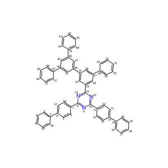 c1ccc(-c2ccc(-c3nc(-c4ccc(-c5ccccc5)cc4)nc(-c4cc(-c5ccccc5)cc(-c5cc(-c6ccccc6)cc(-c6ccccc6)c5)c4)n3)cc2)cc1